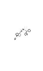 O=C(O)COc1cccc2c1CCCC2CCNC(=O)SNC(c1ccccc1)c1cccnc1